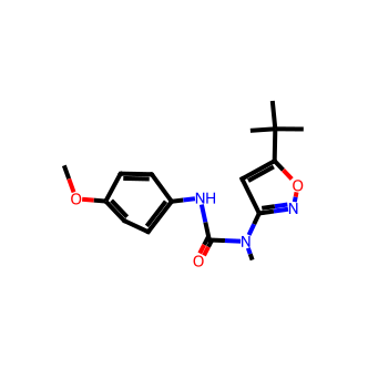 COc1ccc(NC(=O)N(C)c2cc(C(C)(C)C)on2)cc1